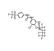 O=C(Nc1ccc(S(=O)(=O)C(F)(F)F)cc1)Nc1cc(Cl)c(OS(=O)(=O)C(F)(F)C(F)(F)C(F)(F)C(F)(F)F)c(Cl)c1